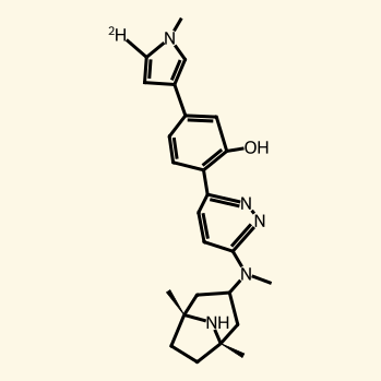 [2H]c1cc(-c2ccc(-c3ccc(N(C)C4C[C@]5(C)CC[C@](C)(C4)N5)nn3)c(O)c2)cn1C